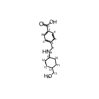 O=C(O)c1ccc(CNC2CCC(CO)CC2)cc1